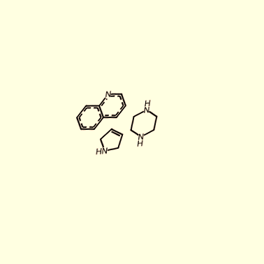 C1=CCNC1.C1CNCCN1.c1ccc2ncccc2c1